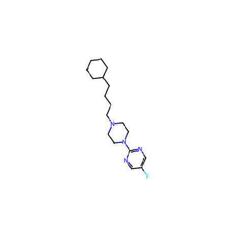 Fc1cnc(N2CCN(CCCCC3CCCCC3)CC2)nc1